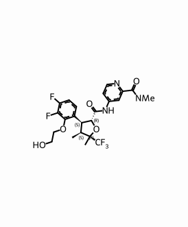 CNC(=O)c1cc(NC(=O)[C@@H]2O[C@@](C)(C(F)(F)F)[C@@H](C)[C@H]2c2ccc(F)c(F)c2OCCO)ccn1